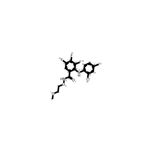 COCCONC(=O)c1cc(F)c(F)c(F)c1Nc1ccc(I)cc1Cl